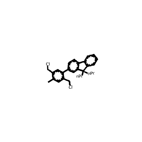 CCCC1(CCC)c2ccccc2-c2ccc(-c3cc(CCl)c(C)cc3CCl)cc21